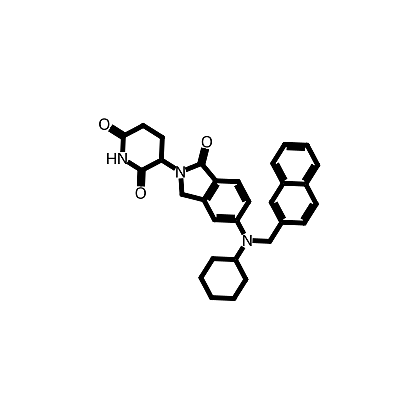 O=C1CCC(N2Cc3cc(N(Cc4ccc5ccccc5c4)C4CCCCC4)ccc3C2=O)C(=O)N1